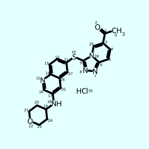 CC(=O)c1ccc2nnc(Sc3ccc4ncc(NC5CCOCC5)cc4c3)n2c1.Cl